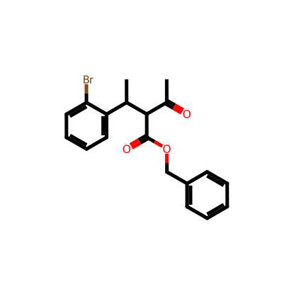 CC(=O)C(C(=O)OCc1ccccc1)C(C)c1ccccc1Br